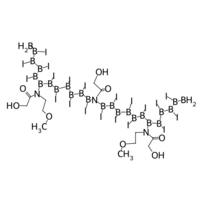 BB(I)B(I)B(I)B(I)B(B(I)B(I)B(I)B(I)B(I)B(I)N(B(I)B(I)B(I)B(I)B(I)B(I)B(B(I)B(I)B(I)B(B)I)N(CCOC)C(=O)CO)C(=O)CO)N(CCOC)C(=O)CO